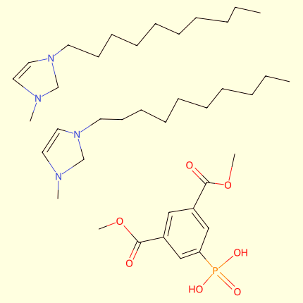 CCCCCCCCCCN1C=CN(C)C1.CCCCCCCCCCN1C=CN(C)C1.COC(=O)c1cc(C(=O)OC)cc(P(=O)(O)O)c1